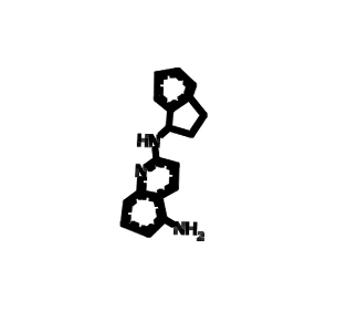 Nc1cccc2nc(NC3CCc4ccccc43)ccc12